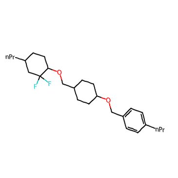 CCCc1ccc(COC2CCC(COC3CCC(CCC)CC3(F)F)CC2)cc1